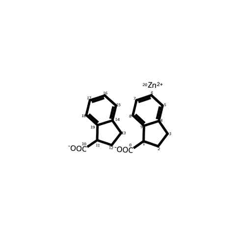 O=C([O-])C1CCc2ccccc21.O=C([O-])C1CCc2ccccc21.[Zn+2]